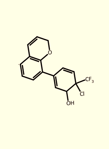 OC1C=C(c2cc[c]c3c2OCC=C3)C=CC1(Cl)C(F)(F)F